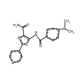 CN(C)c1ccc(C(=O)Nc2sc(-c3ccncc3)nc2C(N)=O)cc1